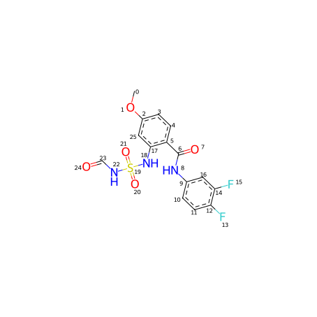 COc1ccc(C(=O)Nc2ccc(F)c(F)c2)c(NS(=O)(=O)NC=O)c1